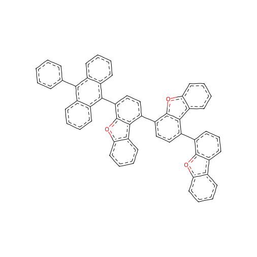 c1ccc(-c2c3ccccc3c(-c3ccc(-c4ccc(-c5cccc6c5oc5ccccc56)c5c4oc4ccccc45)c4c3oc3ccccc34)c3ccccc23)cc1